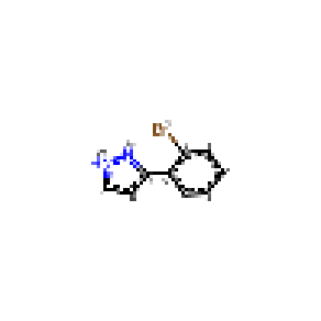 Brc1ccccc1-c1cc[nH]n1